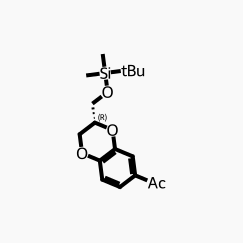 CC(=O)c1ccc2c(c1)O[C@@H](CO[Si](C)(C)C(C)(C)C)CO2